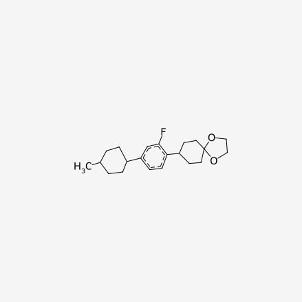 CC1CCC(c2ccc(C3CCC4(CC3)OCCO4)c(F)c2)CC1